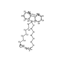 CCCCCCCCC1(CCCCCCCC)c2cccnc2-c2ncccc21